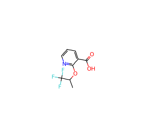 CC(Oc1ncccc1C(=O)O)C(F)(F)F